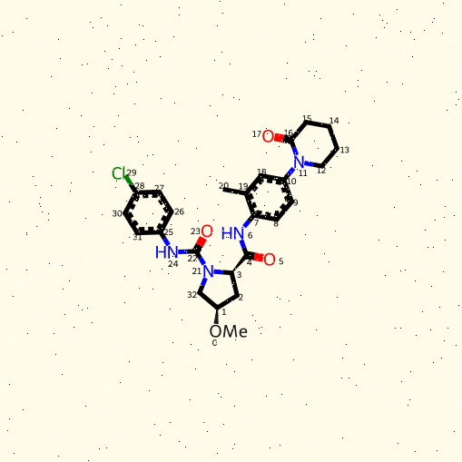 CO[C@@H]1C[C@H](C(=O)Nc2ccc(N3CCCCC3=O)cc2C)N(C(=O)Nc2ccc(Cl)cc2)C1